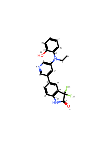 CCN(c1cncc(-c2ccc3c(c2)C(F)(F)C(=O)N3)c1)c1ccccc1O